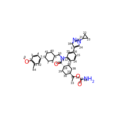 COc1ccc([C@H]2CC[C@H](CN(c3cccc(-c4cnn(C5CC5)c4)c3)C(=O)[C@H]3CC[C@H](C(C)OC(N)=O)CC3)CC2)cc1C